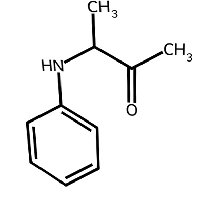 CC(=O)C(C)Nc1ccccc1